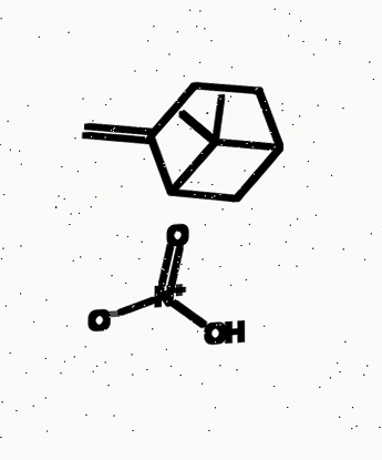 C=C1CCC2CC1C2(C)C.O=[N+]([O-])O